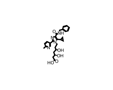 Cc1ccc(-c2nc(C(=O)NCc3ccccc3)c(C3CC3)n2CC[C@@H](O)C[C@@H](O)CC(=O)O)cn1